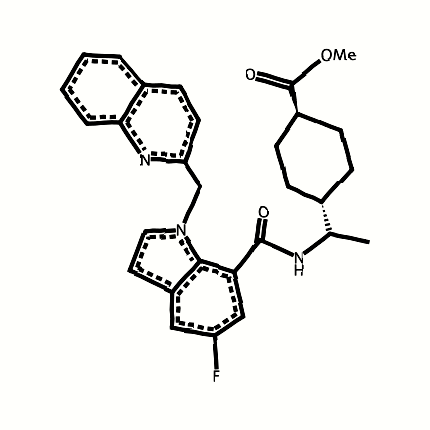 COC(=O)[C@H]1CC[C@H](C(C)NC(=O)c2cc(F)cc3ccn(Cc4ccc5ccccc5n4)c23)CC1